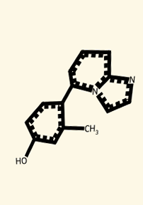 Cc1cc(O)ccc1-c1cccc2nccn12